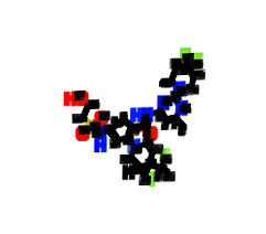 Cc1cc(NC(=O)c2ccc(NS(=O)(=O)CCO)cc2N2CC[C@]3(C(C)(F)F)C[C@@H]3C2)nc(N2CCC(F)(F)CC2)n1